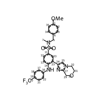 COc1ccc(CN(C)S(=O)(=O)c2ccc(Nc3ccc(C(F)(F)F)cc3)c(-c3cn4c(n3)COCC4)c2)cc1